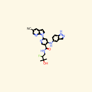 CC(C)(O)C(F)CNC(=O)c1cnc(-n2ccc3cc(C#N)cnc32)cc1Nc1ccc2[nH]ncc2c1